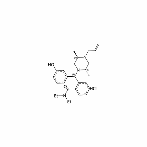 C=CCN1C[C@H](C)N([C@H](c2cccc(O)c2)c2ccccc2C(=O)N(CC)CC)C[C@H]1C.Cl